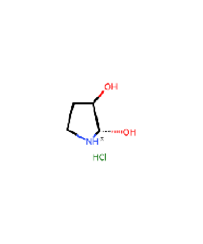 Cl.OC1CCN[C@H]1O